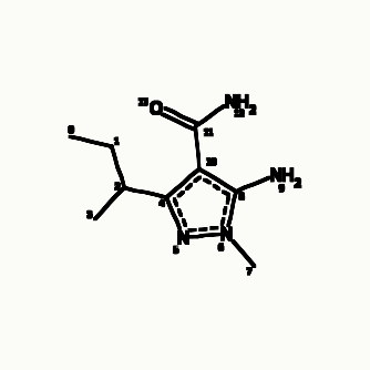 CCC(C)c1nn(C)c(N)c1C(N)=O